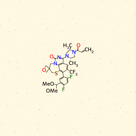 C=CC(=O)N1C[C@H](C)N(c2nc(=O)n3c4c(c(-c5cc(C(OC)OC)c(F)cc5F)c(C(F)(F)F)cc24)SCC2(COC2)C3)C[C@H]1C